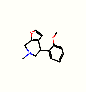 COc1ccccc1C1CN(C)Cc2occc21